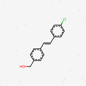 OCc1ccc(/C=C/c2ccc(Cl)cc2)cc1